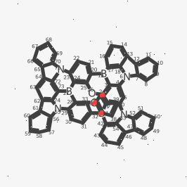 c1cc2c3c(c1)-n1c4ccccc4c4cccc(c41)B3c1ccc3c(c1O2)B1c2c(ccc4c2Oc2cccc5c2B4c2cccc4c6ccccc6n-5c24)-n2c4ccccc4c4cc5c6ccccc6n-3c5c1c42